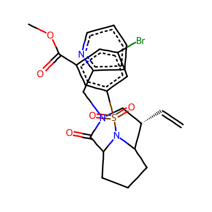 C=C[C@H]1CN(Cc2ccccn2)C(=O)C2CCCC1N2S(=O)(=O)c1cc(Br)cc(C(=O)OC)c1